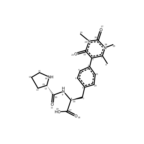 Cc1c(-c2ccc(C[C@H](NC(=O)[C@@H]3CCCN3)C(=O)O)cc2)c(=O)n(C)c(=O)n1C